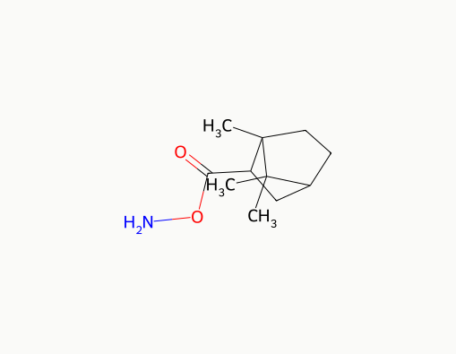 CC1(C)C2CCC1(C)C(C(=O)ON)C2